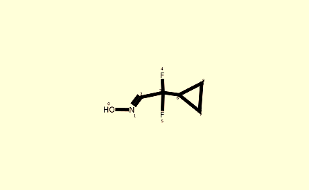 ON=CC(F)(F)C1CC1